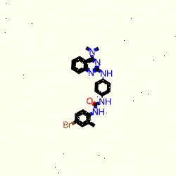 Cc1cc(Br)ccc1NC(=O)N[C@H]1CC[C@@H](Nc2nc(N(C)C)c3ccccc3n2)CC1